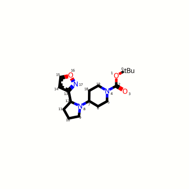 CC(C)(C)OC(=O)N1CCC(N2CCCC2c2ccon2)CC1